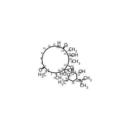 C[C@H]1CN(C)C(=O)CCCCCCNC(=O)[C@H](C)[C@@H](O)[C@H](C)[C@@H](O[C@@H]2O[C@H](C)C[C@H](N(C)C)[C@H]2O)[C@](C)(O)C1